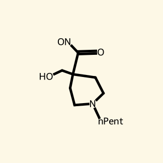 CCCCCN1CCC(CO)(C(=O)N=O)CC1